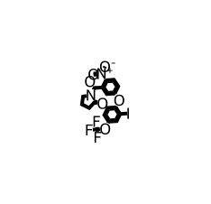 O=C1CCCN1C(=O)c1cc(Oc2ccc(OC(F)(F)F)cc2I)ccc1[N+](=O)[O-]